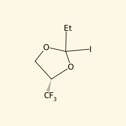 CCC1(I)OC[C@@H](C(F)(F)F)O1